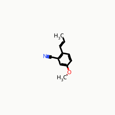 C/C=C/c1ccc(OC)cc1C#N